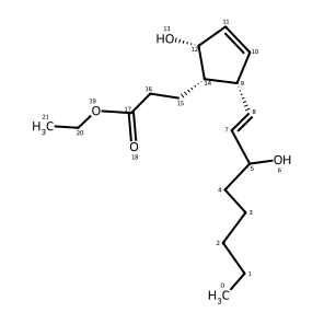 CCCCCC(O)/C=C/[C@H]1C=C[C@@H](O)[C@H]1CCC(=O)OCC